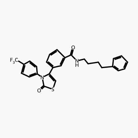 O=C(NCCCCc1ccccc1)c1cccc(-c2csc(=O)n2-c2ccc(C(F)(F)F)cc2)c1